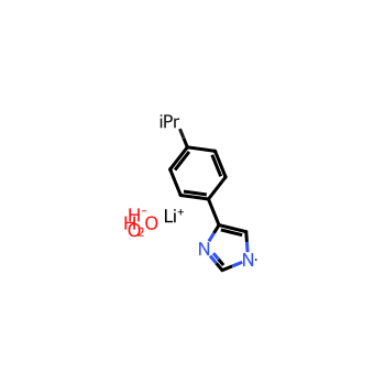 CC(C)c1ccc(C2=C[N]C=N2)cc1.O.[Li+].[OH-]